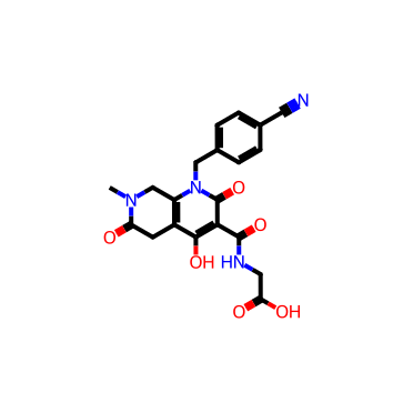 CN1Cc2c(c(O)c(C(=O)NCC(=O)O)c(=O)n2Cc2ccc(C#N)cc2)CC1=O